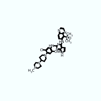 COc1cc(N2CCC(N3CCN(C)CC3)CC2)c(Cl)cc1Nc1nc(Nc2ccc3nccnc3c2P(C)(C)=O)c2cc[nH]c2n1